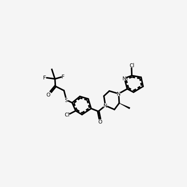 C[C@H]1CN(C(=O)c2ccc(SCC(=O)C(C)(F)F)c(Cl)c2)CCN1c1cccc(Cl)n1